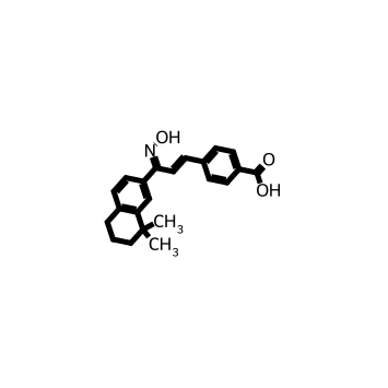 CC1(C)CCCc2ccc(C(C=Cc3ccc(C(=O)O)cc3)=NO)cc21